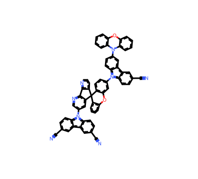 N#Cc1ccc2c(c1)c1cc(C#N)ccc1n2-c1cnc2c(c1)C1(c3ccccc3Oc3cc(-n4c5ccc(C#N)cc5c5cc(N6c7ccccc7Oc7ccccc76)ccc54)ccc31)c1cccnc1-2